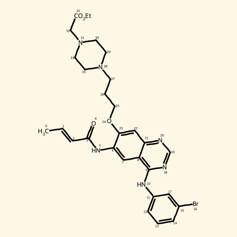 C/C=C/C(=O)Nc1cc2c(Nc3cccc(Br)c3)ncnc2cc1OCCCN1CCN(CC(=O)OCC)CC1